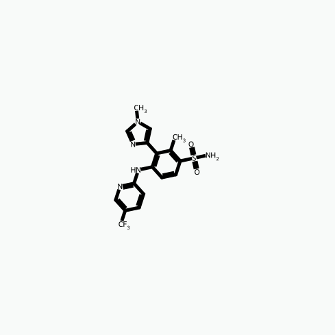 Cc1c(S(N)(=O)=O)ccc(Nc2ccc(C(F)(F)F)cn2)c1-c1cn(C)cn1